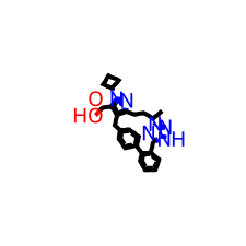 CCCCc1nn(C2CCC2)c(C(=O)O)c1Cc1ccc(-c2ccccc2-c2nnn[nH]2)cc1